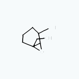 [CH2]CC12CCCC(C)C1O2